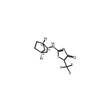 O=C1N=C(N[C@H]2C[C@H]3CC[C@H]2C3)SC1C(F)(F)F